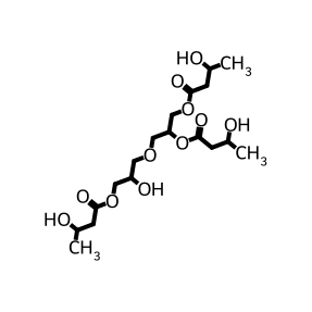 CC(O)CC(=O)OCC(O)COCC(COC(=O)CC(C)O)OC(=O)CC(C)O